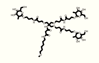 COCCCCCCNC(=O)CC(=O)NC(COCCC(=O)NCCCO[C@@H]1OC(CO)[C@H](O)[C@H](O)C1C)(COCCC(=O)NCCCO[C@@H]1OC(CO)[C@H](O)[C@H](O)C1C)COCCC(=O)NC(=O)CCO[C@@H]1OC(CO)[C@H](O)[C@H](O)C1C